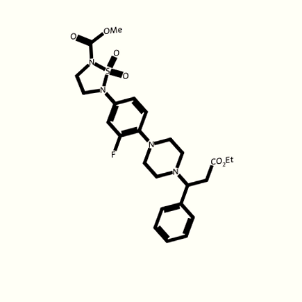 CCOC(=O)CC(c1ccccc1)N1CCN(c2ccc(N3CCN(C(=O)OC)S3(=O)=O)cc2F)CC1